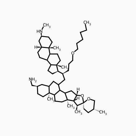 CCCCCCOCCC[C@@H](CC1CC2C[C@H](CN)CC[C@]2(C)C2CC[C@@]3(C)C(C[C@@H]4O[C@]5(CC[C@@H](C)CO5)[C@@H](C)[C@@H]43)C12)[C@H]1CCC2C3CC[C@@H]4C[C@@H](NC)CC[C@]4(C)C3CC[C@@]21C